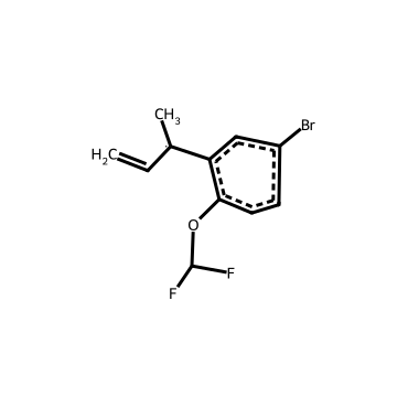 C=C[C](C)c1cc(Br)ccc1OC(F)F